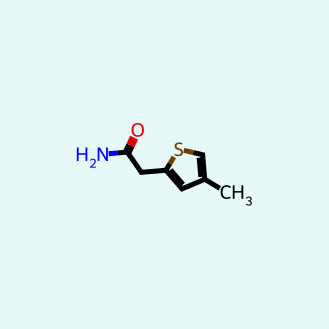 Cc1csc(CC(N)=O)c1